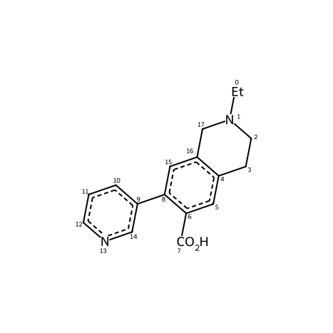 CCN1CCc2cc(C(=O)O)c(-c3cccnc3)cc2C1